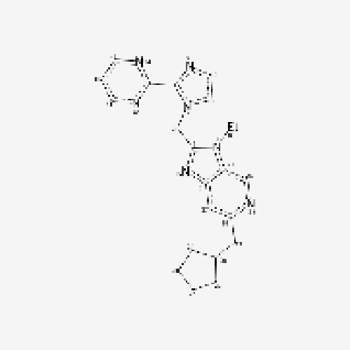 CCn1c(Cn2ccnc2-c2ncccn2)nc2cc(CC3CCCC3)ncc21